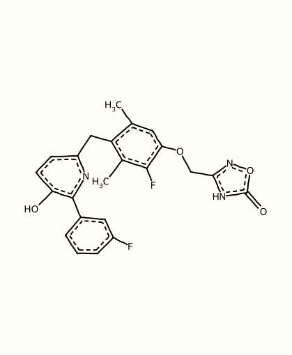 Cc1cc(OCc2noc(=O)[nH]2)c(F)c(C)c1Cc1ccc(O)c(-c2cccc(F)c2)n1